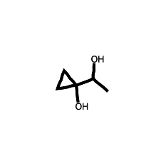 CC(O)C1(O)CC1